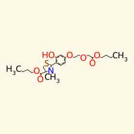 CCCCOC(=O)COCCOc1ccc(C2=N[C@@](C)(C(=O)OCCCC)CS2)c(O)c1